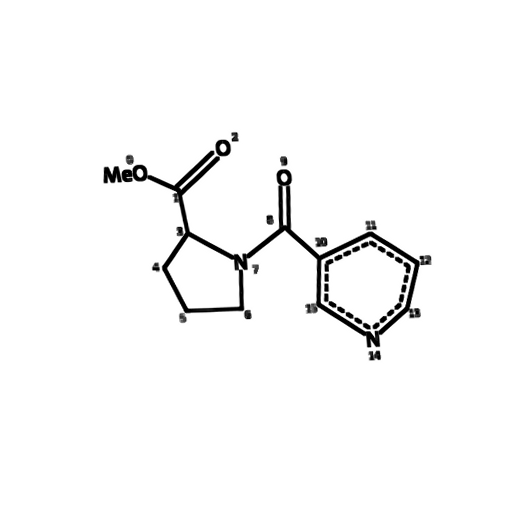 COC(=O)C1CCCN1C(=O)c1cccnc1